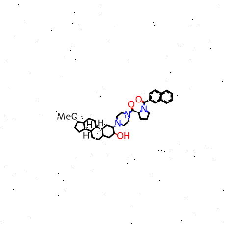 CO[C@H]1CC[C@H]2[C@@H]3CCC4C[C@H](O)[C@@H](N5CCN(C(=O)[C@@H]6CCCN6C(=O)c6ccc7ccccc7c6)CC5)C[C@]4(C)[C@H]3CC[C@]12C